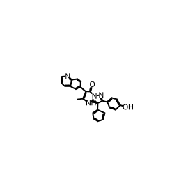 Cc1[nH]c2c(-c3ccccc3)c(-c3ccc(O)cc3)nn2c(=O)c1-c1ccc2ncccc2c1